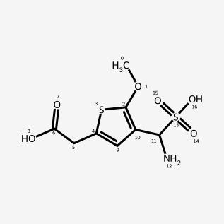 COc1sc(CC(=O)O)cc1C(N)S(=O)(=O)O